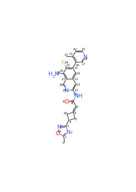 Cc1nc(C2CC(=CC(=O)Nc3cc4cc(-c5cnccc5C)c(F)c(N)c4cn3)C2)no1